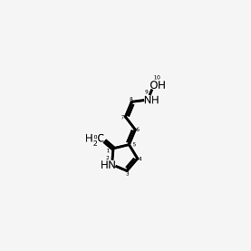 C=c1[nH]cc/c1=C/C=C\NO